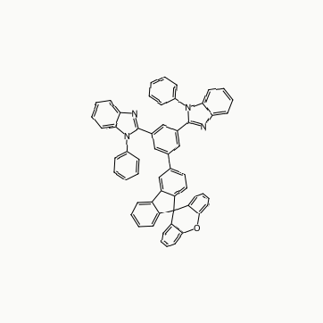 c1ccc(-n2c(-c3cc(-c4ccc5c(c4)-c4ccccc4C54c5ccccc5Oc5ccccc54)cc(-c4nc5ccccc5n4-c4ccccc4)c3)nc3ccccc32)cc1